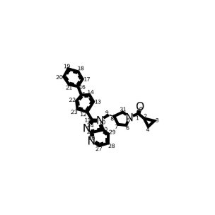 O=C(C1CC1)N1CC[C@H](Cn2c(-c3ccc(-c4ccccc4)cc3)nc3ncccc32)C1